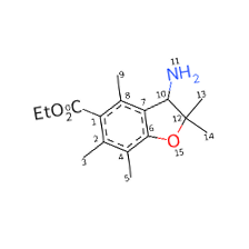 CCOC(=O)c1c(C)c(C)c2c(c1C)C(N)C(C)(C)O2